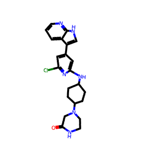 O=C1CN(C2CCC(Nc3cc(-c4c[nH]c5ncccc45)cc(Cl)n3)CC2)CCN1